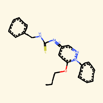 CCCOc1c/c(=N\C(=S)NCc2ccccc2)cnn1-c1ccccc1